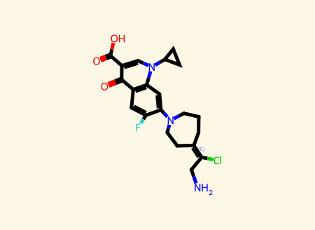 NC/C(Cl)=C1/CCCN(c2cc3c(cc2F)c(=O)c(C(=O)O)cn3C2CC2)CC1